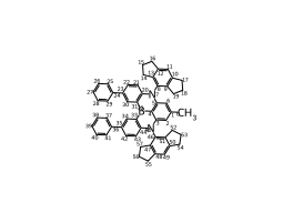 Cc1cc2c3c(c1)N(c1c4c(cc5c1CCC5)CCC4)c1ccc(-c4ccccc4)cc1B3c1cc(-c3ccccc3)ccc1N2c1c2c(cc3c1CCC3)CCC2